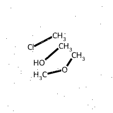 CCl.CO.COC